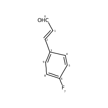 O=CC=Cc1ccc(F)cc1